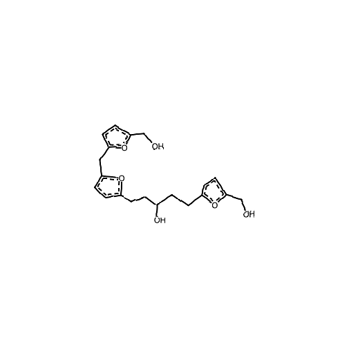 OCc1ccc(CCC(O)CCc2ccc(Cc3ccc(CO)o3)o2)o1